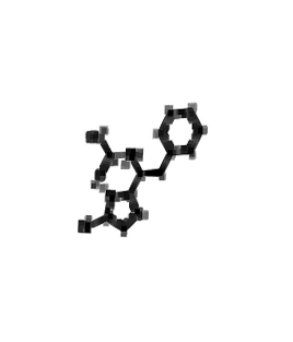 CCc1csc([C@H](Cc2cc[c]cc2)NC(=O)C(C)(C)C)n1